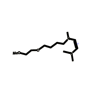 COCCOCCCCN(C)/C=C\N(C)C